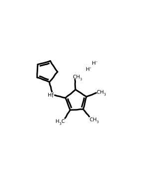 CC1=C(C)C(C)[C]([Hf][C]2=CC=CC2)=C1C.[H-].[H-]